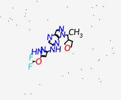 C[C@H](C1CCOC1)n1ncc2ncc(Nc3cc(OC(F)F)[nH]n3)nc21